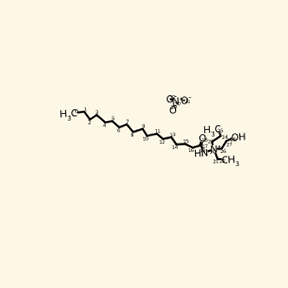 CCCCCCCCCCCCCCCCCC(=O)N[N+](CC)(CCC)CCO.O=[N+]([O-])[O-]